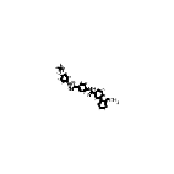 CCc1ccccc1-c1cccc(C(=O)Nc2ccc(-c3ncn(-c4ccc(OC(F)(F)F)cc4)n3)cc2)c1